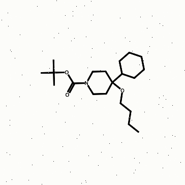 CCCCOC1(C2CCCCC2)CCN(C(=O)OC(C)(C)C)CC1